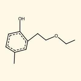 CCOCCc1cc(C)ccc1O